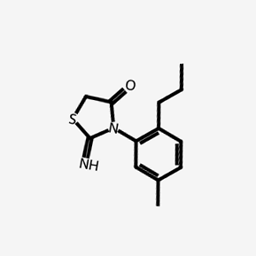 CCCc1ccc(C)cc1N1C(=N)SCC1=O